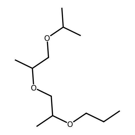 CCCOC(C)COC(C)COC(C)C